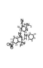 CNc1nc(Nc2ccccc2)c(N=Nc2ccc([N+](=O)[O-])cc2C(F)(F)F)c(C)c1C#N